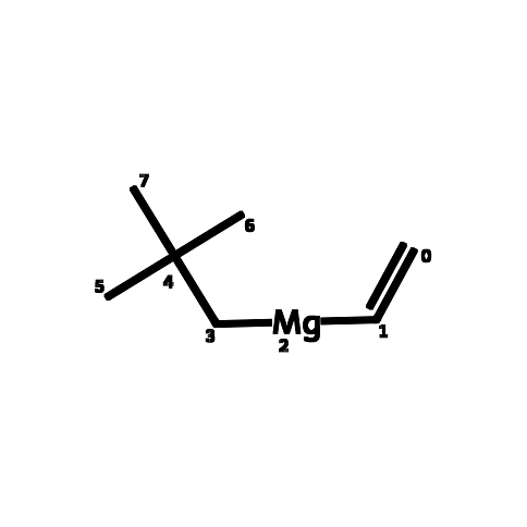 C=[CH][Mg][CH2]C(C)(C)C